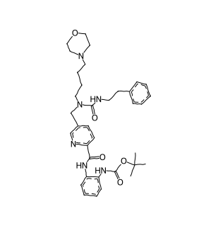 CC(C)(C)OC(=O)Nc1ccccc1NC(=O)c1ccc(CN(CCCCN2CCOCC2)C(=O)NCCc2ccccc2)cn1